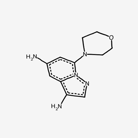 Nc1cc(N2CCOCC2)n2ncc(N)c2c1